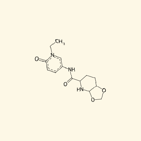 CCn1cc(NC(=O)C2CCC3OCOC3N2)ccc1=O